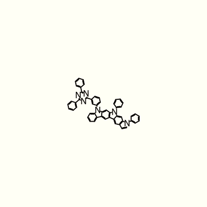 c1ccc(-c2nc(-c3ccccc3)nc(-c3cccc(-n4c5ccccc5c5cc6c7cc8ccn(-c9ccccc9)c8cc7n(-c7ccccc7)c6cc54)c3)n2)cc1